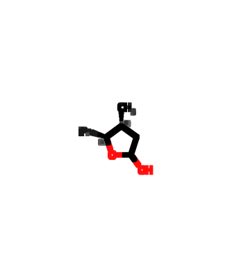 CC(C)[C@@H]1OC(O)C[C@H]1C